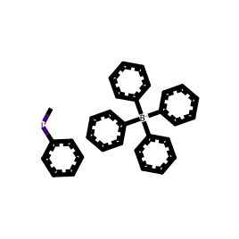 C[I+]c1ccccc1.c1ccc([B-](c2ccccc2)(c2ccccc2)c2ccccc2)cc1